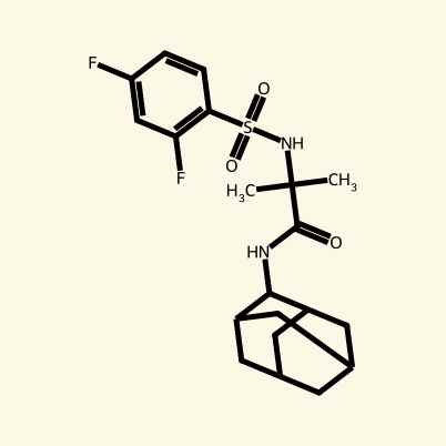 CC(C)(NS(=O)(=O)c1ccc(F)cc1F)C(=O)NC1C2CC3CC(C2)CC1C3